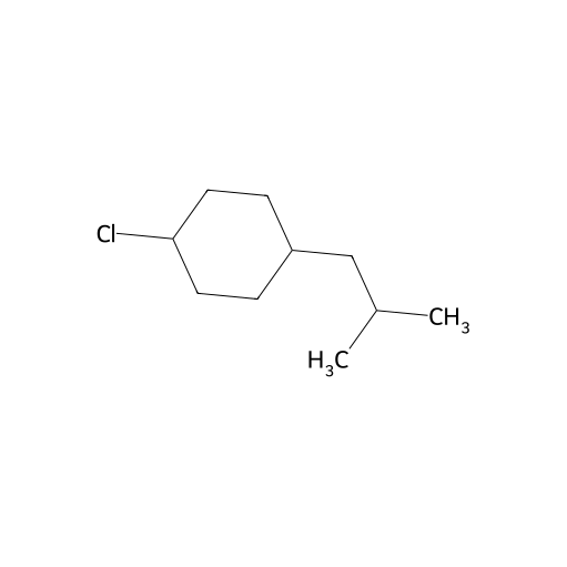 CC(C)CC1CCC(Cl)CC1